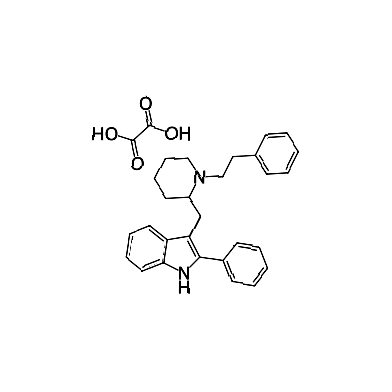 O=C(O)C(=O)O.c1ccc(CCN2CCCCC2Cc2c(-c3ccccc3)[nH]c3ccccc23)cc1